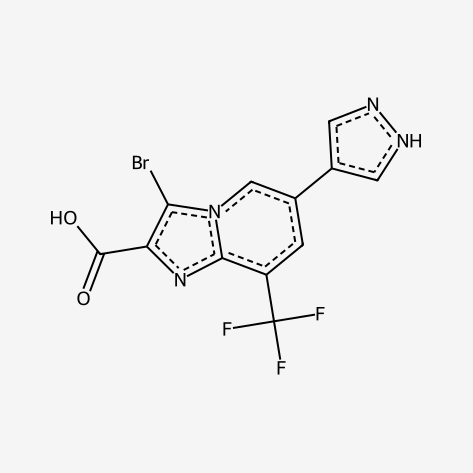 O=C(O)c1nc2c(C(F)(F)F)cc(-c3cn[nH]c3)cn2c1Br